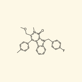 COCc1c(-c2ccc(C)cc2)c2c3ccccc3n(Cc3ccc(F)cc3)c2c(=O)n1C